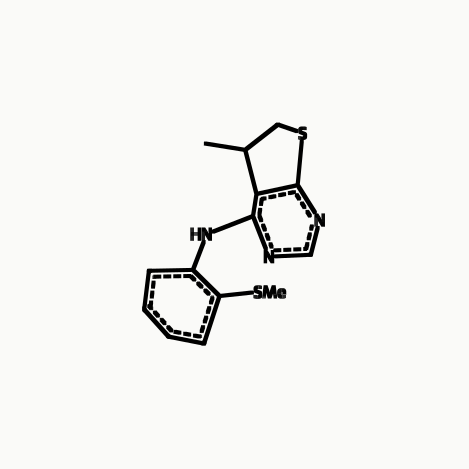 CSc1ccccc1Nc1ncnc2c1C(C)CS2